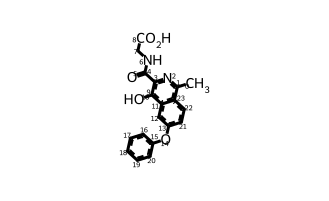 Cc1nc(C(=O)NCC(=O)O)c(O)c2cc(Oc3ccccc3)ccc12